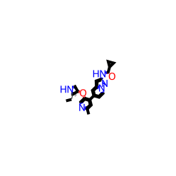 CC[C@@H]1NCC1Oc1cnc(C)cc1-c1ccn2nc(NC(=O)C3CC3)cc2c1